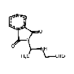 CC(NCC=O)N1C(=O)c2ccccc2C1=O